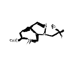 CC(F)(F)Cn1ncc2cc(C=O)ncc21